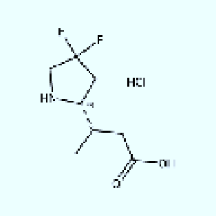 CC(CC(=O)O)[C@H]1CC(F)(F)CN1.Cl